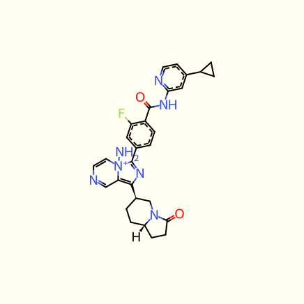 N[N+]12C=CN=CC1=C([C@@H]1CC[C@H]3CCC(=O)N3C1)N=C2c1ccc(C(=O)Nc2cc(C3CC3)ccn2)c(F)c1